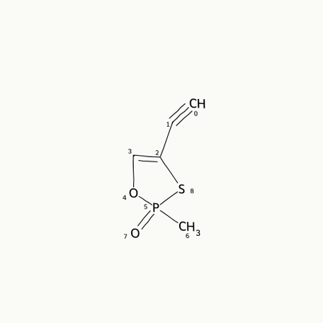 C#CC1=COP(C)(=O)S1